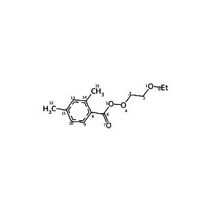 [CH2]COC[CH]OOC(=O)c1ccc(C)cc1C